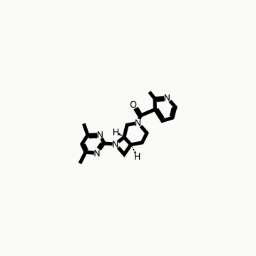 Cc1cc(C)nc(N2C[C@@H]3CCN(C(=O)c4cccnc4C)C[C@@H]32)n1